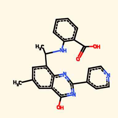 Cc1cc(C(C)Nc2ccccc2C(=O)O)c2nc(-c3ccncc3)nc(O)c2c1